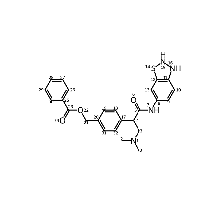 CN(C)CC(C(=O)Nc1ccc2c(c1)SNN2)c1ccc(COC(=O)c2ccccc2)cc1